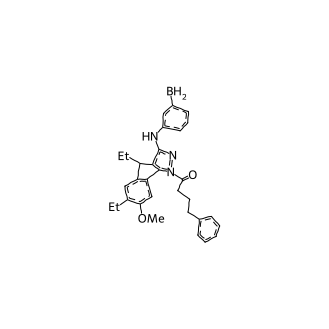 Bc1cccc(Nc2nn(C(=O)CCCc3ccccc3)c3c2C(CC)c2cc(CC)c(OC)cc2-3)c1